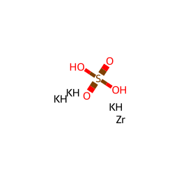 O=S(=O)(O)O.[KH].[KH].[KH].[Zr]